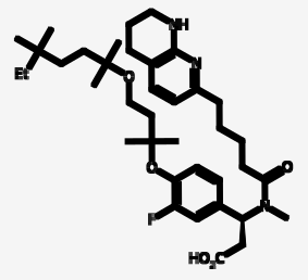 CCC(C)(C)CCC(C)(C)OCCC(C)(C)Oc1ccc([C@H](CC(=O)O)N(C)C(=O)CCCCc2ccc3c(n2)NCCC3)cc1F